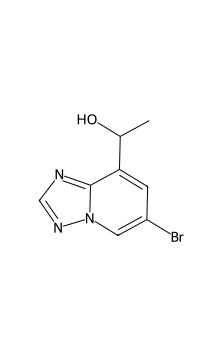 CC(O)c1cc(Br)cn2ncnc12